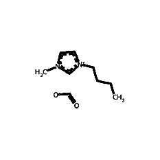 CCCC[n+]1ccn(C)c1.O=C[O-]